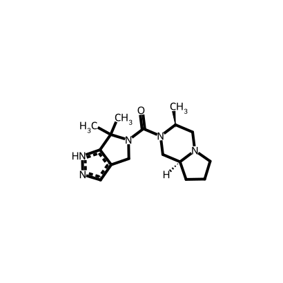 C[C@H]1CN2CCC[C@H]2CN1C(=O)N1Cc2cn[nH]c2C1(C)C